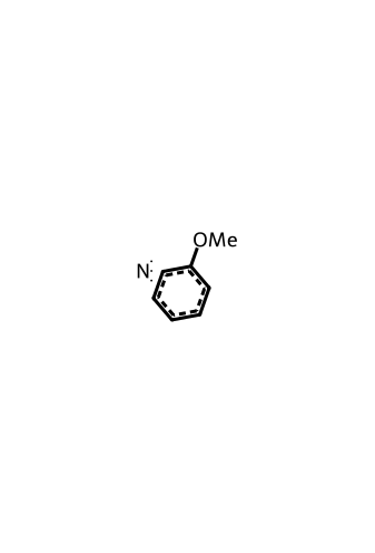 COc1ccccc1.[N]